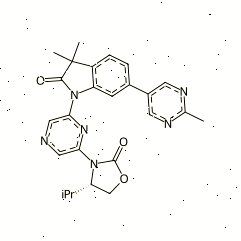 Cc1ncc(-c2ccc3c(c2)N(c2cncc(N4C(=O)OC[C@@H]4C(C)C)n2)C(=O)C3(C)C)cn1